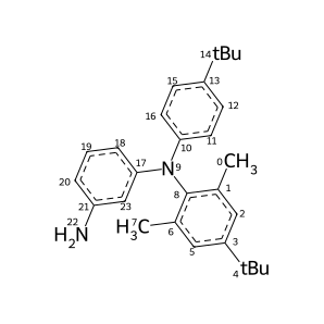 Cc1cc(C(C)(C)C)cc(C)c1N(c1ccc(C(C)(C)C)cc1)c1cccc(N)c1